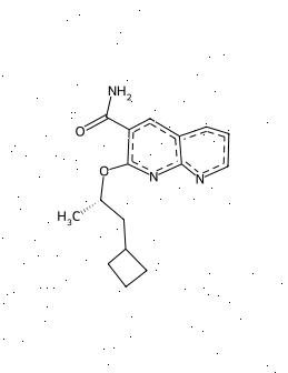 C[C@@H](CC1CCC1)Oc1nc2ncccc2cc1C(N)=O